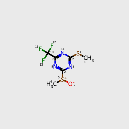 CSc1nc([S+](C)[O-])nc(C(F)(F)F)n1